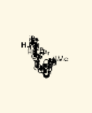 CNC(=O)N(C)C(=O)N(C)C(=O)N(C)[C@H](C(=O)NC(=O)N(C)CC(=O)N(C)[C@@H](CC(C)C)C(=O)N[C@H](C(=O)N(C)[C@@H](CC(C)C)C(N)=O)C(C)C)[C@@H]1OCCCC[C@H]1C